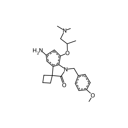 COc1ccc(CN2C(=O)C3(CCC3)c3cc(N)cc(OC(C)CN(C)C)c32)cc1